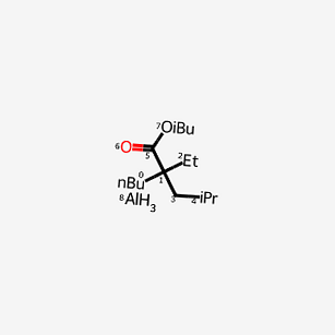 CCCCC(CC)(CC(C)C)C(=O)OCC(C)C.[AlH3]